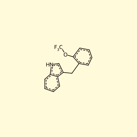 FC(F)(F)Oc1ccccc1Cc1c[nH]c2ccccc12